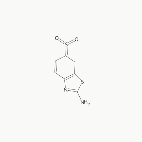 Nc1nc2c(s1)CC(=S(=O)=O)C=C2